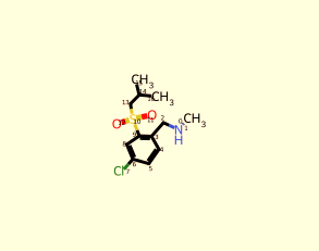 CNCc1ccc(Cl)cc1S(=O)(=O)CC(C)C